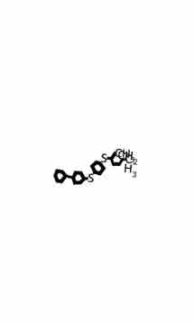 C=C(C)/C=C\C(=C/C)Sc1ccc(Sc2ccc(-c3ccccc3)cc2)cc1